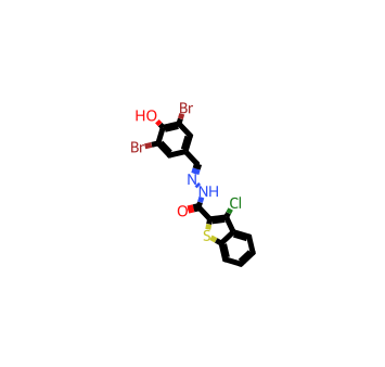 O=C(N/N=C/c1cc(Br)c(O)c(Br)c1)c1sc2ccccc2c1Cl